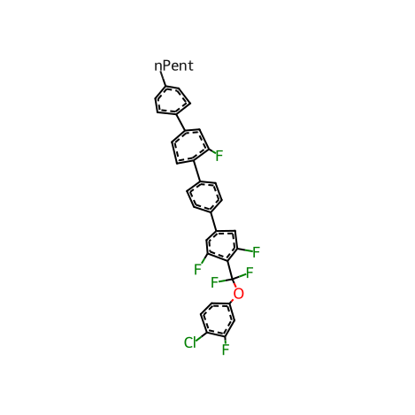 CCCCCc1ccc(-c2ccc(-c3ccc(-c4cc(F)c(C(F)(F)Oc5ccc(Cl)c(F)c5)c(F)c4)cc3)c(F)c2)cc1